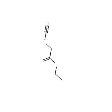 CCOC(=O)CNC#N